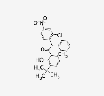 Cc1ccc(C(C)(C)C)c(O)c1C(=O)N(c1ccccc1)c1ccc([N+](=O)[O-])cc1Cl